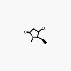 C#CC1C(CC)CC(=O)N1C